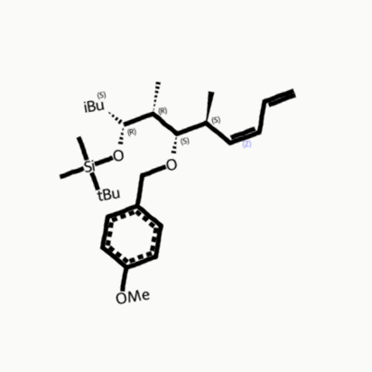 C=C/C=C\[C@H](C)[C@H](OCc1ccc(OC)cc1)[C@@H](C)[C@H](O[Si](C)(C)C(C)(C)C)[C@@H](C)CC